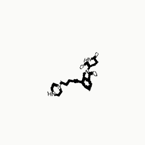 O=C1CCC(N2Cc3c(C#CCCCN4CCNCC4)cccc3C2=O)C(=O)N1